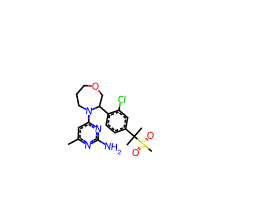 Cc1cc(N2CCCOCC2c2ccc(C(C)(C)S(C)(=O)=O)cc2Cl)nc(N)n1